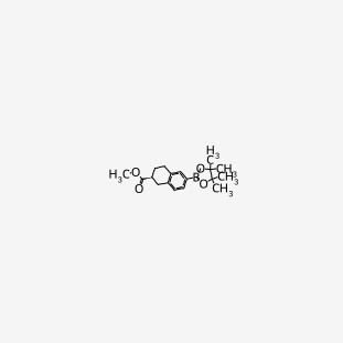 COC(=O)[C@H]1CCc2cc(B3OC(C)(C)C(C)(C)O3)ccc2C1